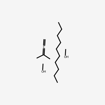 C=C=C(C)C.CCCCCCCCCC.CO.CO